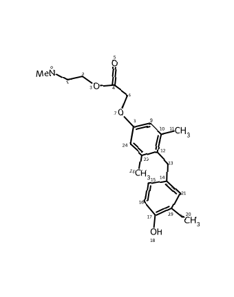 CNCCOC(=O)COc1cc(C)c(Cc2ccc(O)c(C)c2)c(C)c1